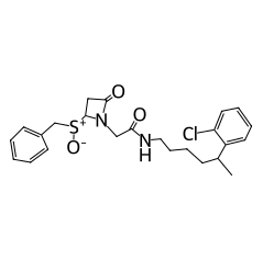 CC(CCCCNC(=O)CN1C(=O)CC1[S+]([O-])Cc1ccccc1)c1ccccc1Cl